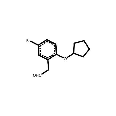 O=CCc1cc(Br)ccc1OC1CCCC1